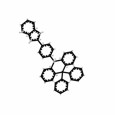 c1ccc(C2(c3ccccc3)c3ccccc3N(c3ccc(-c4nc5cccnc5o4)cc3)c3ccccc32)cc1